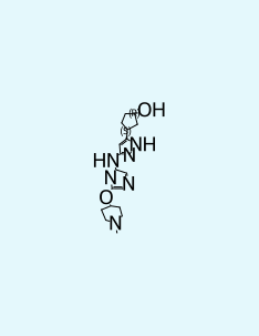 CN1CCC(Oc2cncc(Nc3cc([C@H]4CC[C@@H](O)C4)[nH]n3)n2)CC1